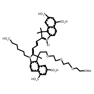 CC[N+]1=C(/C=C/C=C2/N(CCCCCC(=O)O)c3ccc4c(S(=O)(=O)O)cc(S(=O)(=O)O)cc4c3C2(C)CCOCCOCCOCCOC)C(C)(C)c2c1ccc1c(S(=O)(=O)O)cc(S(=O)(=O)O)cc21